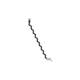 CCCCCCCCCCCCCCCCC[CH]C#N